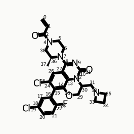 C=CC(=O)N1CCN(c2nc(=O)n3c4c(c(-c5cc(Cl)ccc5F)c(Cl)cc24)OCC3CN2CCC2)[C@@H](C)C1